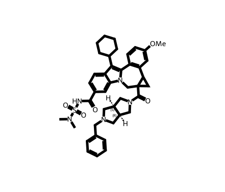 COc1ccc2c(c1)C1CC1(C(=O)N1C[C@H]3CN(Cc4ccccc4)C[C@H]3C1)Cn1c-2c(C2CCCCC2)c2ccc(C(=O)NS(=O)(=O)N(C)C)cc21